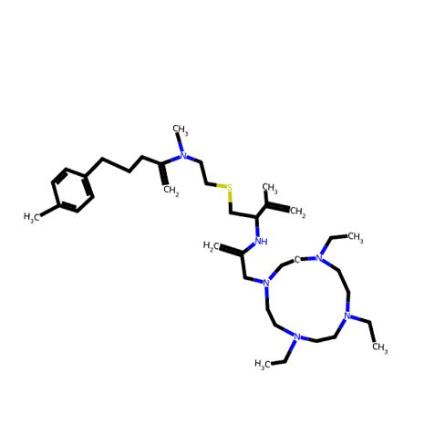 C=C(CN1CCN(CC)CCN(CC)CCN(CC)CC1)NC(CSCCN(C)C(=C)CCCc1ccc(C)cc1)C(=C)C